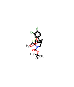 CCOC(=O)C12CN(C(=O)OC(C)(C)C)C(O)C(F)(F)C1(c1ccc(Cl)c(Cl)c1)C2